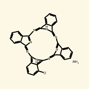 Clc1cccc2c3nc4nc(nc5[nH]c(nc6nc(nc([nH]3)c12)-c1ccccc1-6)c1ccccc51)-c1ccccc1-4.[AlH3]